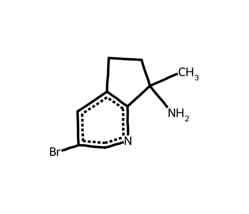 CC1(N)CCc2cc(Br)cnc21